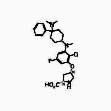 CN(c1cc(F)cc(O[C@@H]2CN[C@H](C(=O)O)C2)c1Cl)C1CCC(c2ccccc2)(N(C)C)CC1